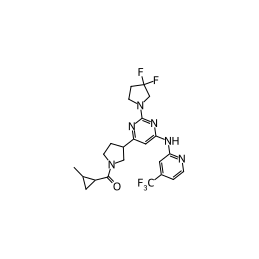 CC1CC1C(=O)N1CCC(c2cc(Nc3cc(C(F)(F)F)ccn3)nc(N3CCC(F)(F)C3)n2)C1